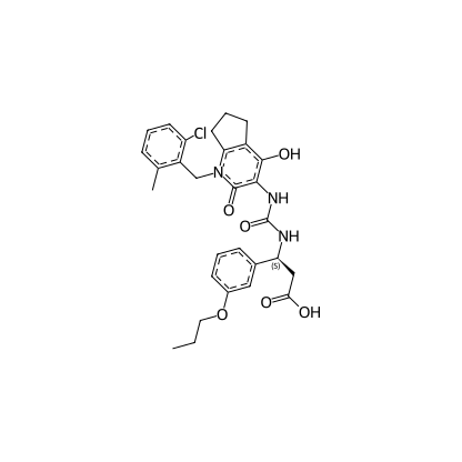 CCCOc1cccc([C@H](CC(=O)O)NC(=O)Nc2c(O)c3c(n(Cc4c(C)cccc4Cl)c2=O)CCC3)c1